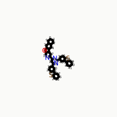 c1ccc2cc3c(cc2c1)oc1cnc(-c2cc(-c4ccc5sc6ccccc6c5c4)nc(-c4ccc5sc6ccccc6c5c4)n2)cc13